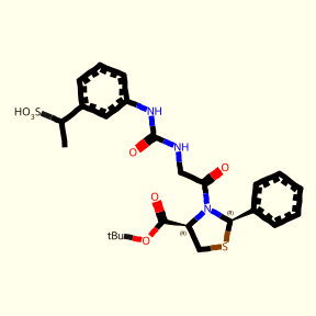 CC(c1cccc(NC(=O)NCC(=O)N2[C@@H](c3ccccc3)SC[C@H]2C(=O)OC(C)(C)C)c1)S(=O)(=O)O